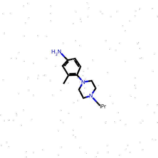 Cc1cc(N)ccc1N1CCN(C(C)C)CC1